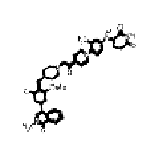 COc1cc(-c2cn(C)c(=O)c3ccccc23)cc(Cl)c1CC1CCN(CC(=O)C2CCN(c3ccc(NC4CCC(=O)NC4=O)cc3C(F)(F)F)CC2)CC1